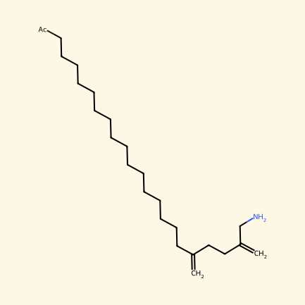 C=C(CN)CCC(=C)CCCCCCCCCCCCCCCCC(C)=O